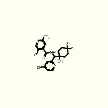 O=C(NC(c1cc(Cl)ccn1)C1(O)CCC(F)(F)CC1)c1cc(C(F)(F)F)ncc1Cl